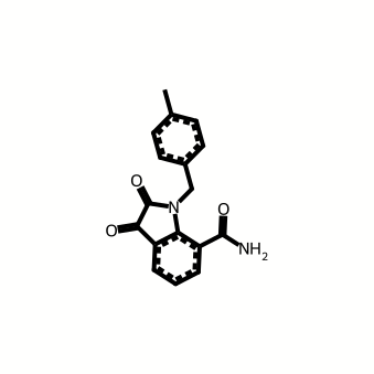 Cc1ccc(CN2C(=O)C(=O)c3cccc(C(N)=O)c32)cc1